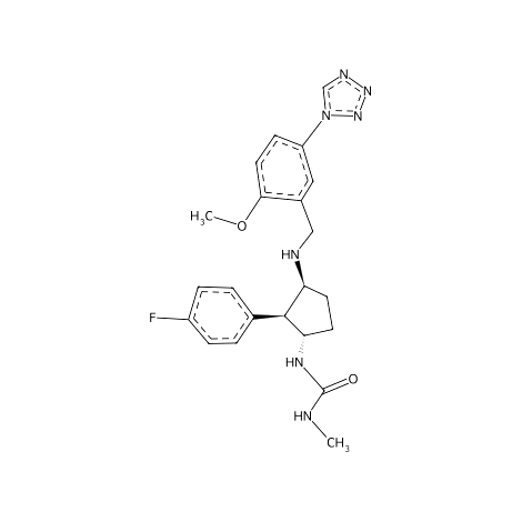 CNC(=O)N[C@H]1CC[C@H](NCc2cc(-n3cnnn3)ccc2OC)[C@@H]1c1ccc(F)cc1